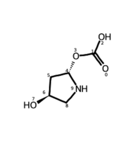 O=C(O)O[C@H]1C[C@H](O)CN1